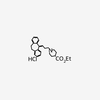 CCOC(=O)C1CCN(CCC=C2c3ccccc3CCc3ccccc32)CC1.Cl